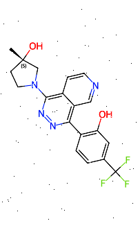 C[C@]1(O)CCN(c2nnc(-c3ccc(C(F)(F)F)cc3O)c3cnccc23)C1